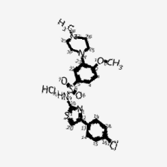 COc1ccc(S(=O)(=O)Nc2nc(-c3ccc(Cl)cc3)cs2)cc1N1CCN(C)CC1.Cl